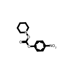 O=C(Oc1ccc([N+](=O)[O-])cc1)ON1CCCCC1